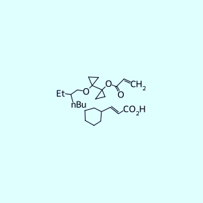 C=CC(=O)OC1(C2(OCC(CC)CCCC)CC2)CC1.O=C(O)C=CC1CCCCC1